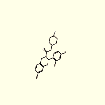 CN1CCC(CC(=O)N(Cc2ccc(F)cc2F)Cc2ccc(F)cc2F)CC1